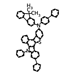 CC1(C)c2ccccc2-c2ccc(N(c3ccc(-c4ccccc4)cc3)c3ccc4sc5c(c4c3)c3ccccc3c3c5c4ccc(-c5ccccc5)cc4n3-c3ccccc3)cc21